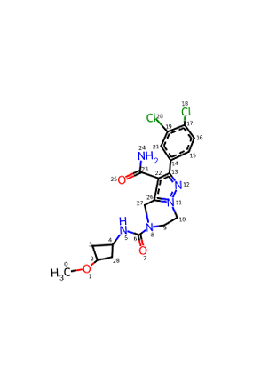 COC1CC(NC(=O)N2CCn3nc(-c4ccc(Cl)c(Cl)c4)c(C(N)=O)c3C2)C1